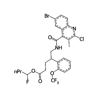 CCCC(F)OC(=O)CCC(CNC(=O)c1c(C)c(Cl)nc2ccc(Br)cc12)c1ccccc1OC(F)(F)F